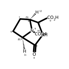 O=C(O)C1NC(=O)[C@H]2CC[C@@H]1N2C(=O)O